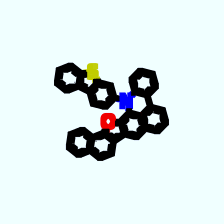 c1ccc(-c2ccccc2N(c2ccc3c(c2)sc2ccccc23)c2cccc3c2oc2c4ccccc4ccc32)cc1